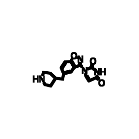 O=c1ccn(-c2noc3ccc(CC4CCNCC4)cc23)c(=O)[nH]1